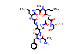 CC[C@H](C)[C@H](NC(=O)[C@H](CCC(=O)O)NC(=O)CNC(=O)[C@@H](NC(=O)[C@H](Cc1ccccc1)NC(=O)[C@H](C)N)C(C)C)C(=O)N[C@@H](CCSC)C(=O)N[C@@H](CC(N)=O)C(=O)N[C@@H](CO)C(=O)O